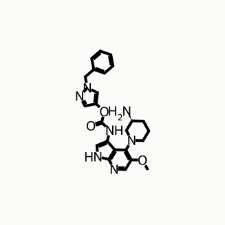 COc1cnc2[nH]cc(NC(=O)Oc3cnn(Cc4ccccc4)c3)c2c1N1CCC[C@@H](N)C1